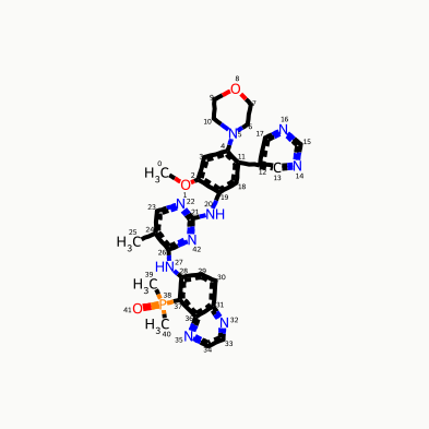 COc1cc(N2CCOCC2)c(-c2cncnc2)cc1Nc1ncc(C)c(Nc2ccc3nccnc3c2P(C)(C)=O)n1